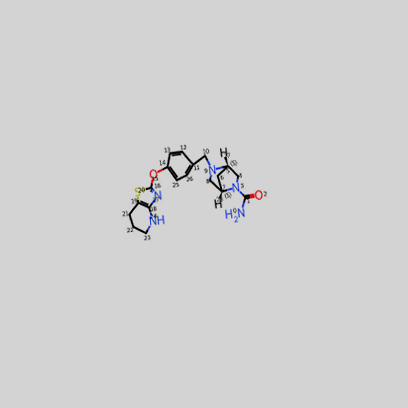 NC(=O)N1C[C@@H]2C[C@H]1CN2Cc1ccc(Oc2nc3c(s2)CCCN3)cc1